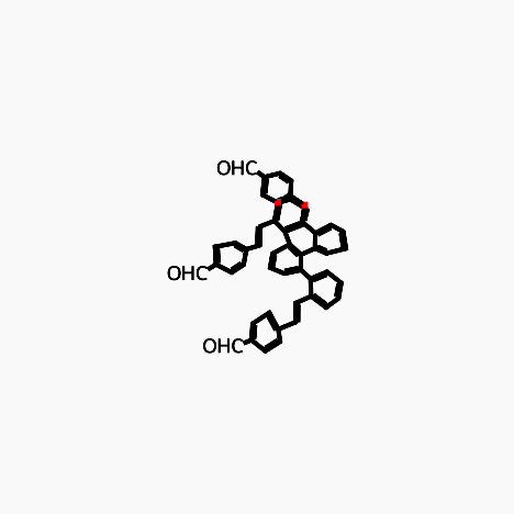 O=Cc1ccc(C=Cc2ccccc2-c2cccc(-c3ccccc3C=Cc3ccc(C=O)cc3)c2-c2ccccc2C=Cc2ccc(C=O)cc2)cc1